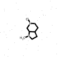 CN1CCC2CCN(Cl)CC21